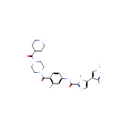 CCn1cc(-c2cnc(C(=O)Nc3ccc(C(=O)N4CCN(C(=O)C5CCNCC5)CC4)c(Cl)c3)n2C)c(C(F)(F)F)n1